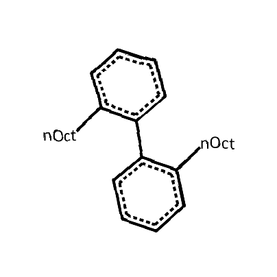 CCCCCCCCc1ccccc1-c1ccccc1CCCCCCCC